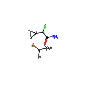 CCC(Br)C(=O)O.NC(=O)C(Cl)C1CC1